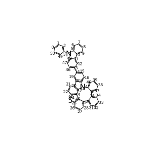 c1ccc(-n2c3ccccc3c3cc(-c4ccc5c(c4)c4ccc6sc7cccc8c9ccccc9c9ccccc9n5c4c6c78)ccc32)cc1